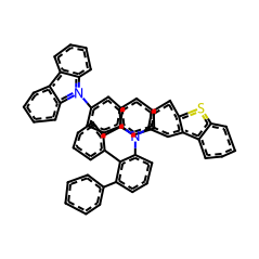 c1ccc(-c2ccccc2-c2c(-c3ccccc3)cccc2N(c2ccc(-n3c4ccccc4c4ccccc43)cc2)c2ccc3sc4ccccc4c3c2)cc1